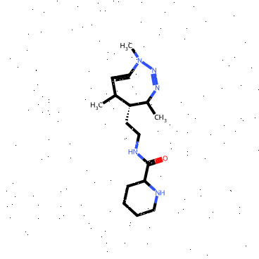 CC1/C=C/N(C)/N=N\C(C)[C@@H]1CCNC(=O)C1CCCCN1